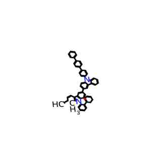 C#CC/C=C\c1c(C)n(-c2ccccc2C2=CC=CCC2)c2ccc(-c3ccc4c(c3)c3ccccc3n4-c3ccc(-c4ccc(-c5ccccc5)cc4)cc3)cc12